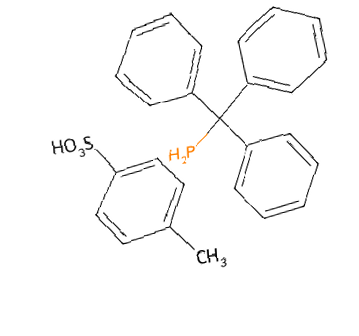 Cc1ccc(S(=O)(=O)O)cc1.PC(c1ccccc1)(c1ccccc1)c1ccccc1